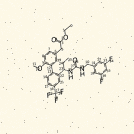 CCOC(=O)Cc1ccc(OC)c(-c2ccc(C(F)(F)F)cc2C(CC)NC(=O)NCc2cc(F)cc(F)c2)c1